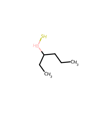 CCCC(BS)CC